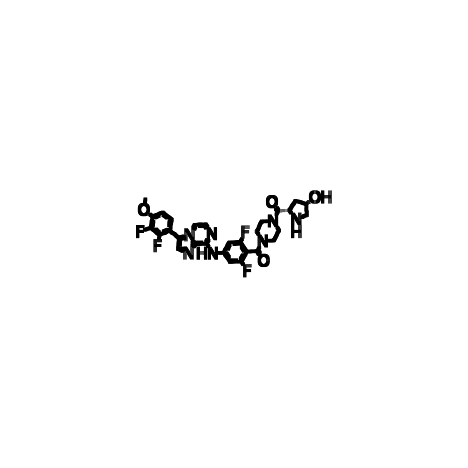 COc1ccc(-c2cnc3c(Nc4cc(F)c(C(=O)N5CCN(C(=O)[C@@H]6C[C@@H](O)CN6)CC5)c(F)c4)nccn23)c(F)c1F